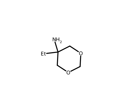 CCC1(N)COCOC1